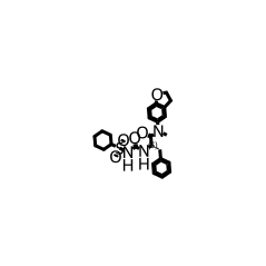 CN(C(=O)[C@H](Cc1ccccc1)NC(=O)NS(=O)(=O)C1CCCCC1)c1ccc2c(c1)CCO2